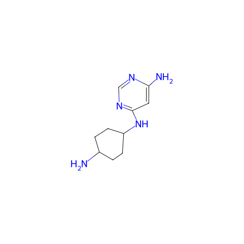 Nc1cc(NC2CCC(N)CC2)ncn1